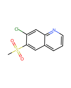 CS(=O)(=O)c1cc2cccnc2cc1Cl